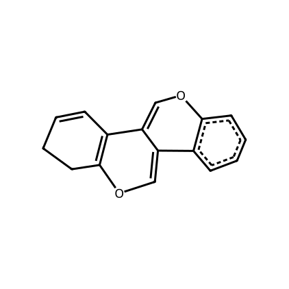 C1=CC2=C(CC1)OC=C1C2=COc2ccccc21